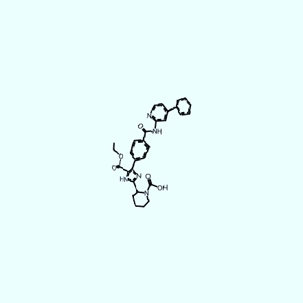 CCOC(=O)c1[nH]c(C2CCCCN2C(=O)O)nc1-c1ccc(C(=O)Nc2cc(-c3ccccc3)ccn2)cc1